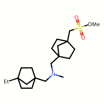 CCC12CCC(CN(C)CC34CCC(CS(=O)(=O)OC)(CC3)C4)(CC1)C2